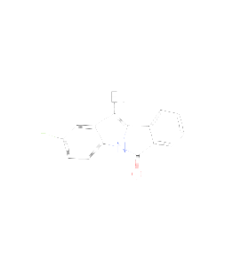 CCc1c2n(c3ccc(F)cc13)C(=O)c1ccccc1-2